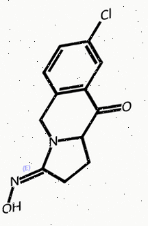 O=C1c2cc(Cl)ccc2CN2/C(=N/O)CCC12